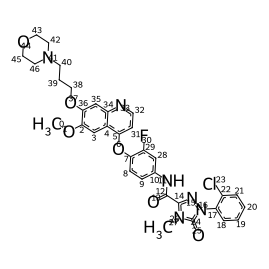 COc1cc2c(Oc3ccc(NC(=O)c4nn(-c5ccccc5Cl)c(=O)n4C)cc3F)ccnc2cc1OCCCN1CCOCC1